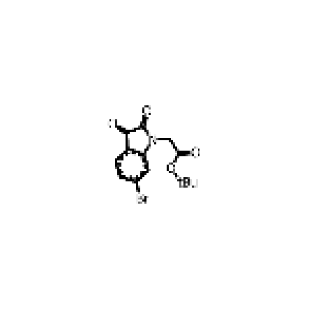 CC(C)(C)OC(=O)CN1C(=O)C(=O)c2ccc(Br)cc21